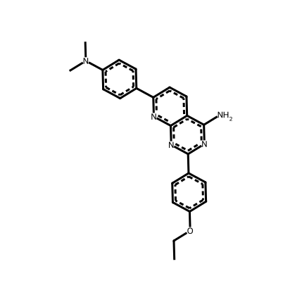 CCOc1ccc(-c2nc(N)c3ccc(-c4ccc(N(C)C)cc4)nc3n2)cc1